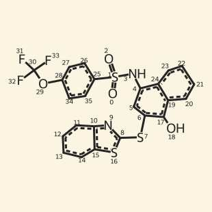 O=S(=O)(Nc1cc(Sc2nc3ccccc3s2)c(O)c2ccccc12)c1ccc(OC(F)(F)F)cc1